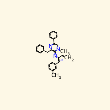 C=CC(=C/c1cccc(C)c1)/N=c1/c(Cc2ccccc2)nc(-c2ccccc2)cn1C